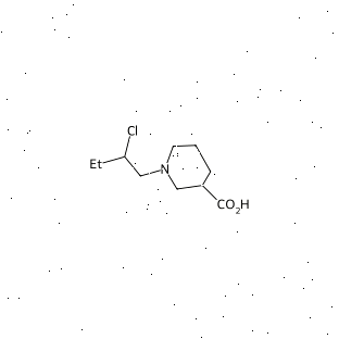 CCC(Cl)CN1CCCC(C(=O)O)C1